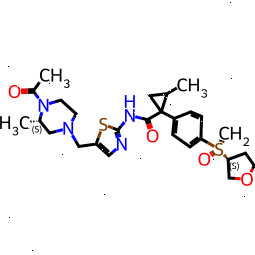 C=S(=O)(c1ccc(C2(C(=O)Nc3ncc(CN4CCN(C(C)=O)[C@@H](C)C4)s3)CC2C)cc1)[C@H]1CCOC1